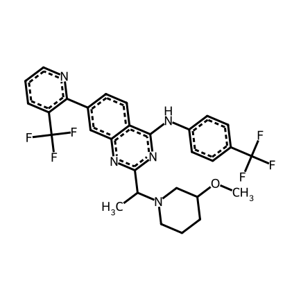 COC1CCCN(C(C)c2nc(Nc3ccc(C(F)(F)F)cc3)c3ccc(-c4ncccc4C(F)(F)F)cc3n2)C1